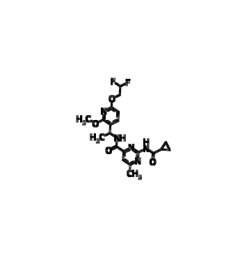 COc1nc(OCC(F)F)ccc1C(C)NC(=O)c1cc(C)nc(NC(=O)C2CC2)n1